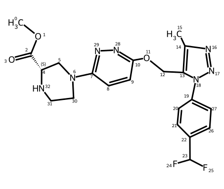 COC(=O)[C@@H]1CN(c2ccc(OCc3c(C)nnn3-c3ccc(C(F)F)cc3)nn2)CCN1